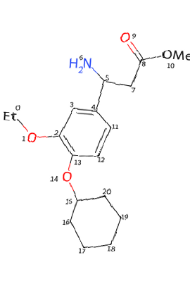 CCOc1cc(C(N)CC(=O)OC)ccc1OC1CCCCC1